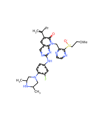 C=C(c1cc2cnc(Nc3ccc(N4CC(C)NC(C)C4)c(F)c3)nc2n(Cc2nccnc2[S+]([O-])CCOC)c1=O)C(C)C